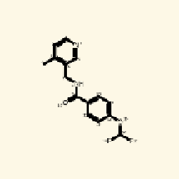 Cc1ccncc1CNC(=O)c1ccc(OC(F)F)cc1